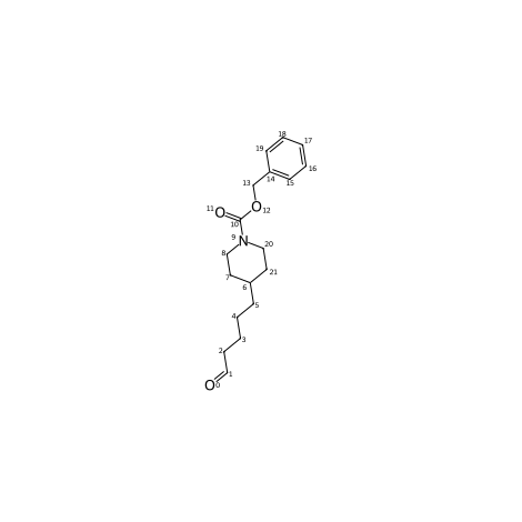 O=CCCCCC1CCN(C(=O)OCc2ccccc2)CC1